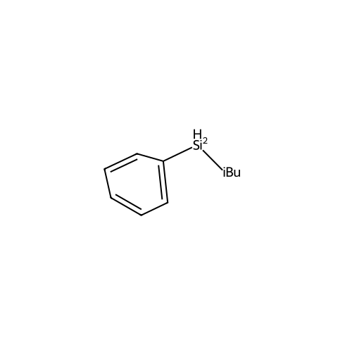 CCC(C)[SiH2]c1ccccc1